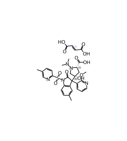 COc1ncccc1C1([C@]2(O)C[C@@H](C(=O)O)N(N(C)C)C2)C(=O)N(S(=O)(=O)c2ccc(C)cn2)c2ccc(C)cc21.O=C(O)/C=C/C(=O)O